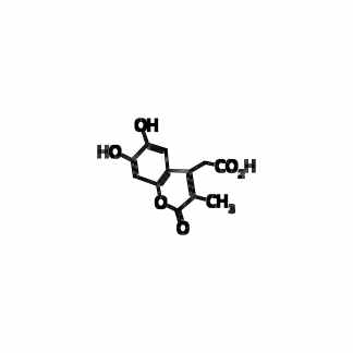 Cc1c(CC(=O)O)c2cc(O)c(O)cc2oc1=O